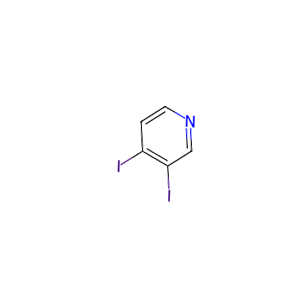 Ic1ccncc1I